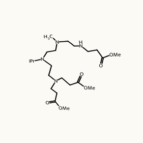 COC(=O)CCNCCN(C)CCN(CCN(CCC(=O)OC)CCC(=O)OC)C(C)C